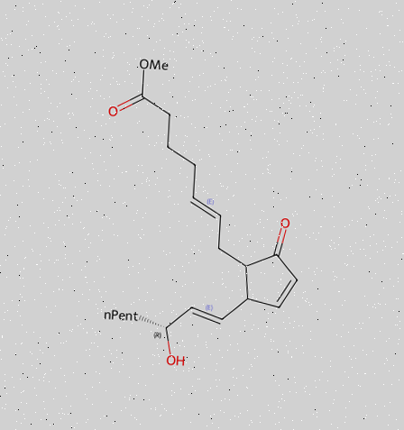 CCCCC[C@@H](O)/C=C/C1C=CC(=O)C1C/C=C/CCCC(=O)OC